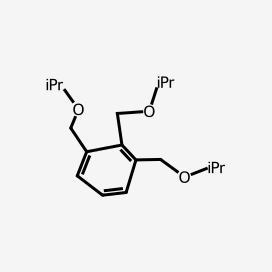 CC(C)OCc1cccc(COC(C)C)c1COC(C)C